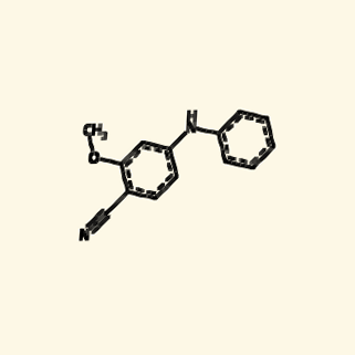 COc1cc(Nc2ccccc2)ccc1C#N